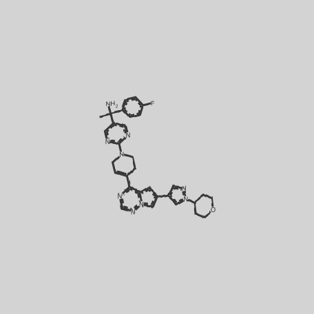 CC(N)(c1ccc(F)cc1)c1cnc(N2CC=C(c3ncnn4cc(-c5cnn(C6CCOCC6)c5)cc34)CC2)nc1